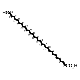 O=C(O)CCCCCCCCCCCCCCCCCCCCCCCCCCCCCCO